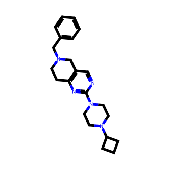 c1ccc(CN2CCc3nc(N4CCN(C5CCC5)CC4)ncc3C2)cc1